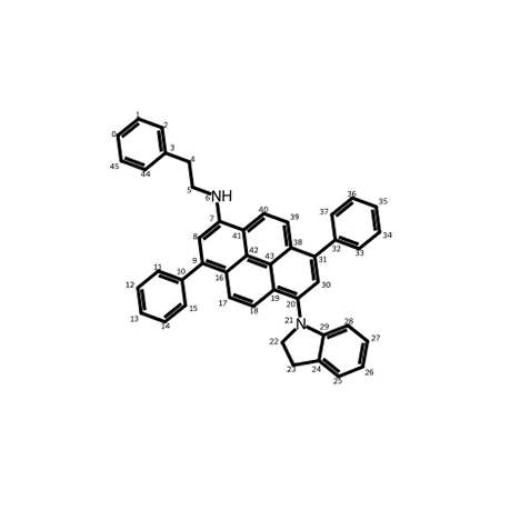 c1ccc(CCNc2cc(-c3ccccc3)c3ccc4c(N5CCc6ccccc65)cc(-c5ccccc5)c5ccc2c3c54)cc1